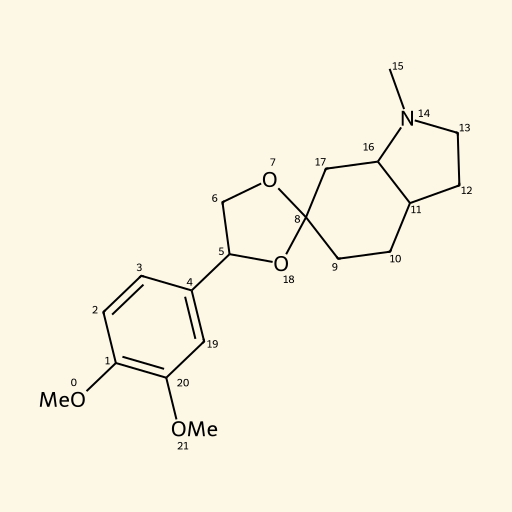 COc1ccc(C2COC3(CCC4CCN(C)C4C3)O2)cc1OC